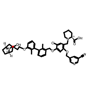 Cc1c(COc2cc(OCc3cncc(C#N)c3)c(CN3CCCC[C@H]3C(=O)O)cc2Cl)cccc1-c1cccc(OCCCN2[C@@H]3CC[C@H]2CC(O)C3)c1C